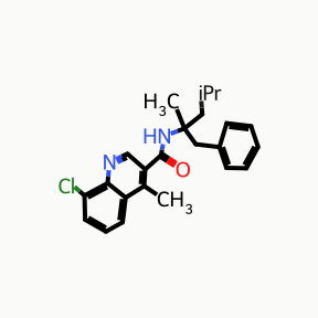 Cc1c(C(=O)NC(C)(Cc2ccccc2)CC(C)C)cnc2c(Cl)cccc12